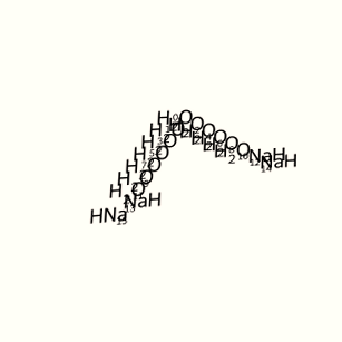 O.O.O.O.O.O.O.O.O.O.O.O.[NaH].[NaH].[NaH].[NaH]